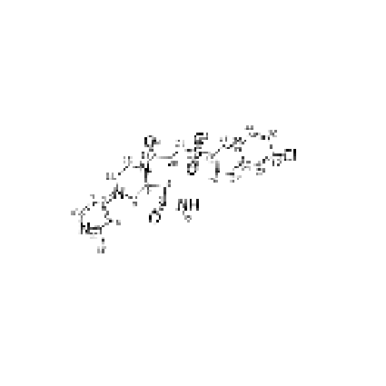 CNC(=O)CC1CN(c2ccnc(C)c2)CCN1C(=O)CCS(=O)(=O)c1ccc2cc(Cl)ccc2c1